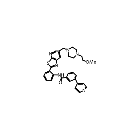 COCCN1CCN(Cc2cnc3sc(-c4ccccc4NC(=O)c4cccc(-c5ccncc5)c4)nc3c2)CC1